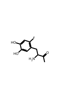 CC(=O)C(N)Cc1cc(O)c(O)cc1F